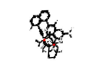 CC(C)[Si](C#Cc1c(F)ccc2cccc(-c3nc4c5c(nc([S+](C)[O-])nc5c3F)N3C[C@H]5CC[C@@H]([C@H]3[C@H](C)O4)N5C(=O)O)c12)(C(C)C)C(C)C